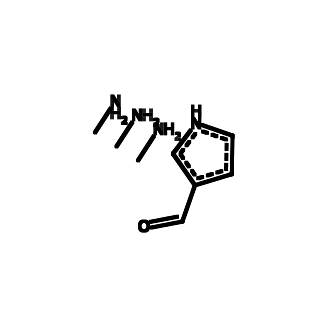 CN.CN.CN.O=Cc1cc[nH]c1